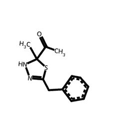 CC(=O)C1(C)NN=C(Cc2ccccc2)S1